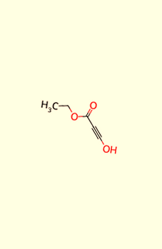 CCOC(=O)C#CO